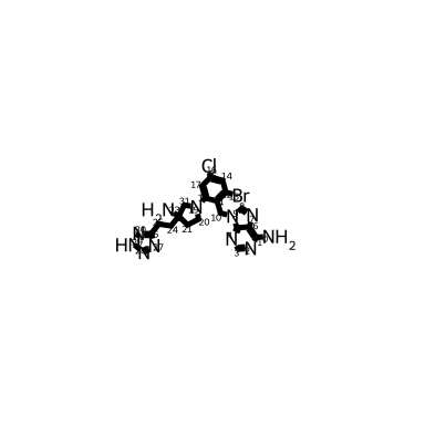 Nc1ncnc2c1ncn2Cc1c(Br)cc(Cl)cc1N1CCC(N)(CCc2nn[nH]n2)C1